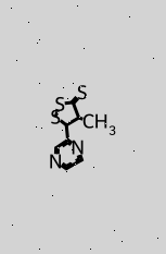 CC1C(=S)SSC1c1cnccn1